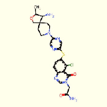 C[C@@H]1OCC2(CCN(c3cnc(Sc4ccc5ncn(CC(N)=O)c(=O)c5c4Cl)cn3)CC2)[C@@H]1N